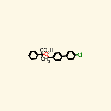 CC(OCc1ccc(-c2ccc(Cl)cc2)cc1)(C(=O)O)c1ccccc1